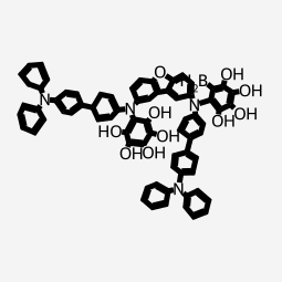 Bc1c(O)c(O)c(O)c(O)c1N(c1ccc(-c2ccc(N(c3ccccc3)c3ccccc3)cc2)cc1)c1ccc2oc3ccc(N(C4=CCC(c5ccc(N(c6ccccc6)C6C=CC=CC6)cc5)C=C4)c4c(O)c(O)c(O)c(O)c4O)cc3c2c1